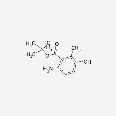 Cc1c(O)ccc(N)c1C(=O)OC(C)(C)C